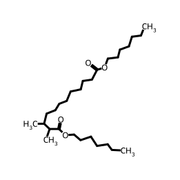 CCCCCCCOC(=O)CCCCCCCCC(C)C(C)C(=O)OCCCCCCC